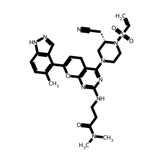 C=CS(=O)(=O)N1CCN(c2nc(NCCC(=O)N(C)C)nc3c2CC=C(c2c(C)ccc4[nH]ncc24)O3)C[C@@H]1CC#N